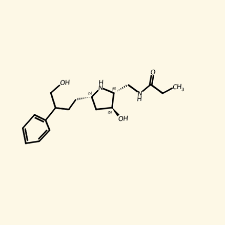 CCC(=O)NC[C@H]1N[C@@H](CCC(CO)c2ccccc2)C[C@@H]1O